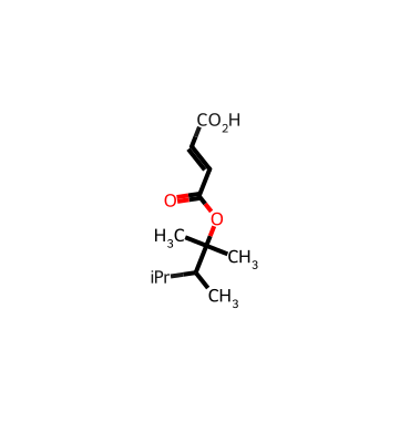 CC(C)C(C)C(C)(C)OC(=O)C=CC(=O)O